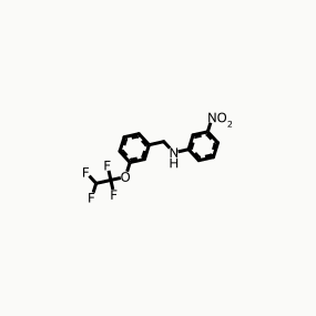 O=[N+]([O-])c1cccc(NCc2cccc(OC(F)(F)C(F)F)c2)c1